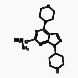 CC(=O)O.Clc1nc(N2CCOCC2)c2cnn(C3CCNCC3)c2n1